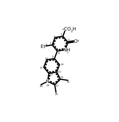 CCc1cc(C(=O)O)c(=O)[nH]c1-c1ccc2c(c1)c(C)c(C)n2C